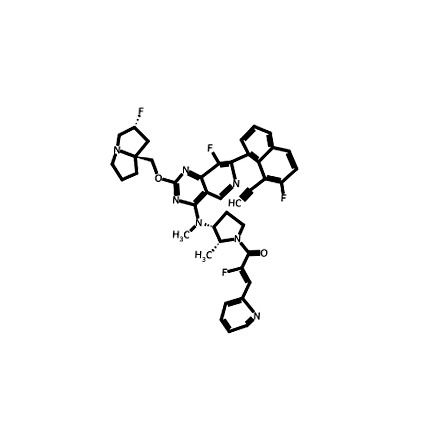 C#Cc1c(F)ccc2cccc(-c3ncc4c(N(C)[C@@H]5CCN(C(=O)/C(F)=C/c6ccccn6)[C@@H]5C)nc(OC[C@@]56CCCN5C[C@H](F)C6)nc4c3F)c12